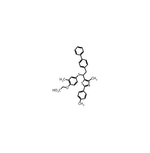 Cc1ccc(-c2nc(C)c(C(Cc3ccc(-c4ccccc4)cc3)Sc3ccc(OCC(=O)O)c(C)c3)s2)cc1